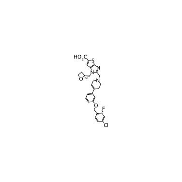 O=C(O)c1cc2c(nc(CN3CC=C(c4cccc(OCc5ccc(Cl)cc5F)c4)CC3)n2C[C@@H]2CCO2)s1